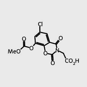 COC(=O)Oc1cc(Cl)cc2c(=O)n(CC(=O)O)c(=O)oc12